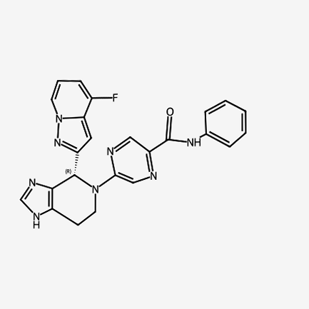 O=C(Nc1ccccc1)c1cnc(N2CCc3[nH]cnc3[C@@H]2c2cc3c(F)cccn3n2)cn1